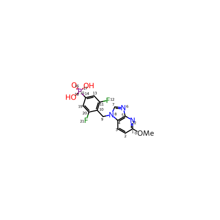 COc1ccc2c(ncn2Cc2c(F)cc(P(=O)(O)O)cc2F)n1